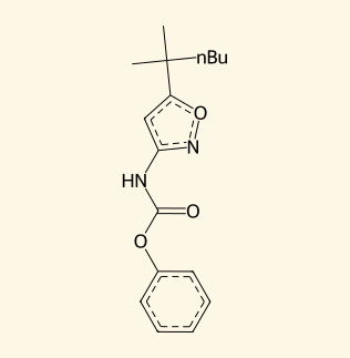 CCCCC(C)(C)c1cc(NC(=O)Oc2ccccc2)no1